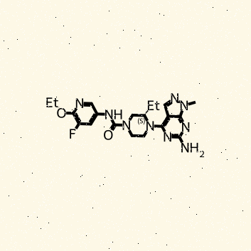 CCOc1ncc(NC(=O)N2CCN(c3nc(N)nc4c3cnn4C)[C@@H](CC)C2)cc1F